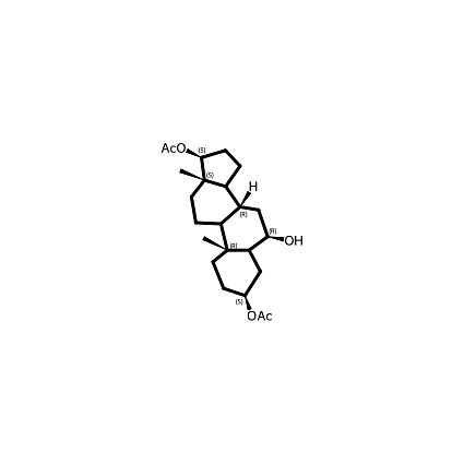 CC(=O)O[C@H]1CC[C@]2(C)C3CC[C@@]4(C)C(CC[C@@H]4OC(C)=O)[C@@H]3C[C@@H](O)C2C1